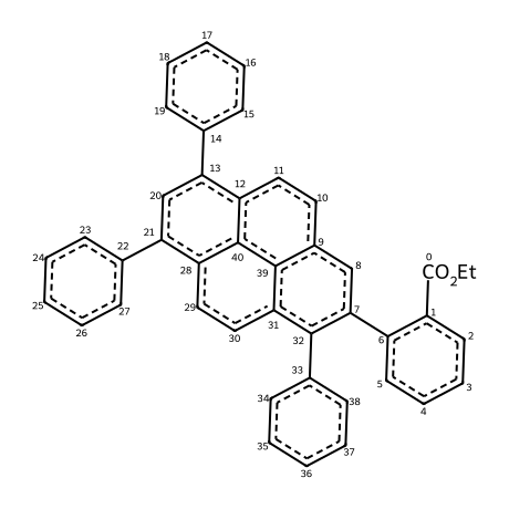 CCOC(=O)c1ccccc1-c1cc2ccc3c(-c4ccccc4)cc(-c4ccccc4)c4ccc(c1-c1ccccc1)c2c34